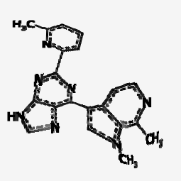 Cc1cccc(-c2nc(-c3cn(C)c4c(C)nccc34)c3nc[nH]c3n2)n1